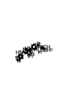 CC(C)Nc1cc(Nc2ccc3ncsc3c2)ncc1C(=O)N[C@H]1CC[C@H](C(=O)NCC(C)(C)O)CC1